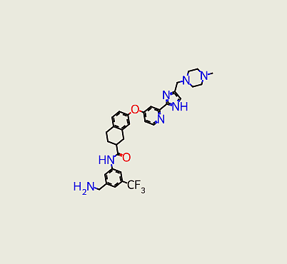 CN1CCN(Cc2c[nH]c(-c3cc(Oc4ccc5c(c4)CC(C(=O)Nc4cc(CN)cc(C(F)(F)F)c4)CC5)ccn3)n2)CC1